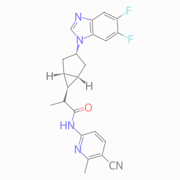 Cc1nc(NC(=O)C(C)[C@H]2[C@@H]3C[C@@H](n4cnc5cc(F)c(F)cc54)C[C@@H]32)ccc1C#N